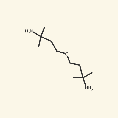 CC(C)(N)CCOCCC(C)(C)N